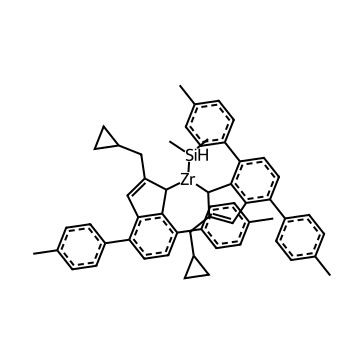 Cc1ccc(-c2ccc(-c3ccc(C)cc3)c3c2C=C(CC2CC2)[CH]3[Zr]([CH]2C(CC3CC3)=Cc3c(-c4ccc(C)cc4)ccc(-c4ccc(C)cc4)c32)[SiH](C)C)cc1